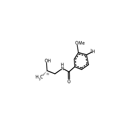 [2H]c1ccc(C(=O)NC[C@H](C)O)cc1OC